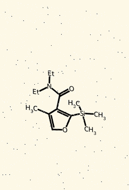 CCN(CC)C(=O)c1c(C)coc1[Si](C)(C)C